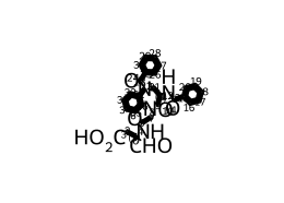 O=C[C@H](CC(=O)O)NC(=O)CN1C(=O)[C@@H](NC(=O)c2ccccc2)CN(C(=O)c2ccccc2)c2ccccc21